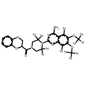 [2H]c1c(OC([2H])([2H])[2H])c(OC([2H])([2H])[2H])c([2H])c2c(N)nc(N3C([2H])([2H])CN(C(=O)C4COc5ccccc5O4)CC3([2H])[2H])nc12